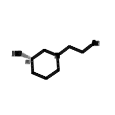 CC(=O)CCN1CCC[C@H](O)C1